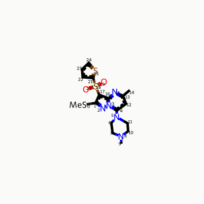 CSc1nn2c(N3CCN(C)CC3)cc(C)nc2c1S(=O)(=O)c1cccs1